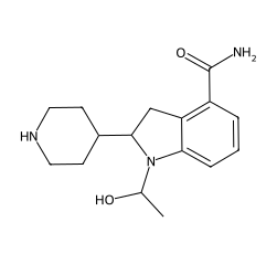 CC(O)N1c2cccc(C(N)=O)c2CC1C1CCNCC1